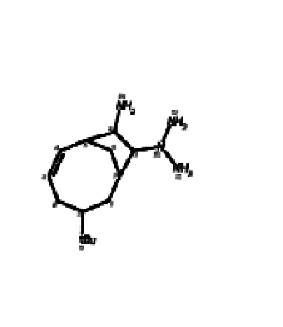 CC(C)(C)C1CC=CC2CC(C1)C(N(N)N)C2N